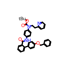 CC(C)(C)OC(=O)N(CCc1ccccn1)c1ccc(NC(=O)c2ccccc2-c2ccc(OCc3ccccc3)cc2)cc1